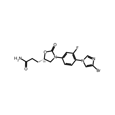 NC(=O)CC[C@H]1CN(c2ccc(-n3cnc(Br)c3)c(F)c2)C(=O)O1